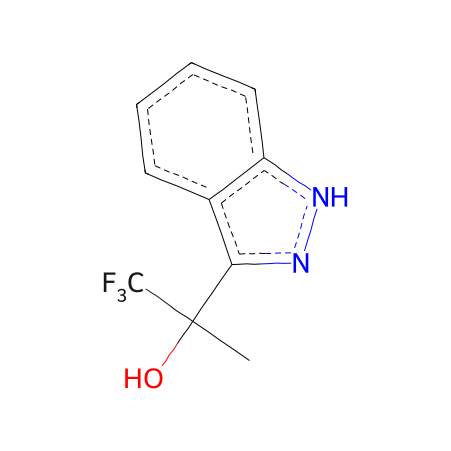 CC(O)(c1n[nH]c2ccccc12)C(F)(F)F